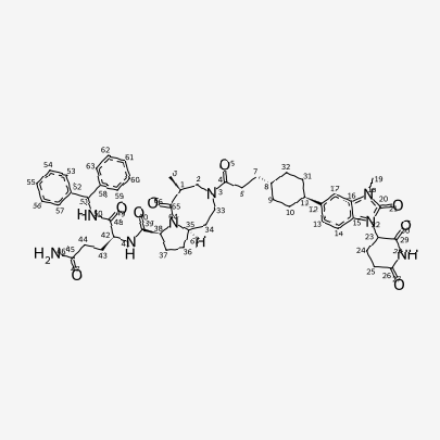 C[C@H]1CN(C(=O)CC[C@H]2CC[C@H](c3ccc4c(c3)n(C)c(=O)n4C3CCC(=O)NC3=O)CC2)CC[C@H]2CC[C@@H](C(=O)N[C@@H](CCC(N)=O)C(=O)NC(c3ccccc3)c3ccccc3)N2C1=O